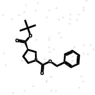 CC(C)(C)OC(=O)[C@@H]1CCN(C(=O)OCc2ccccc2)C1